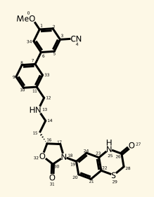 COc1cc(C#N)cc(-c2cccc(CNCC[C@@H]3CN(c4ccc5c(c4)NC(=O)CS5)C(=O)O3)c2)c1